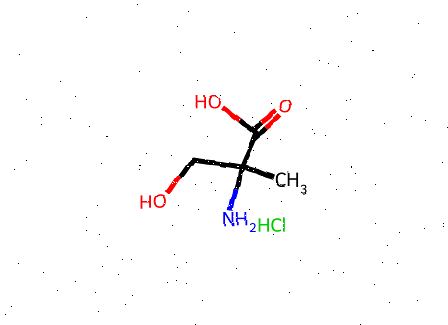 CC(N)(CO)C(=O)O.Cl